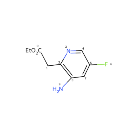 CCOC(=O)Cc1ncc(F)cc1N